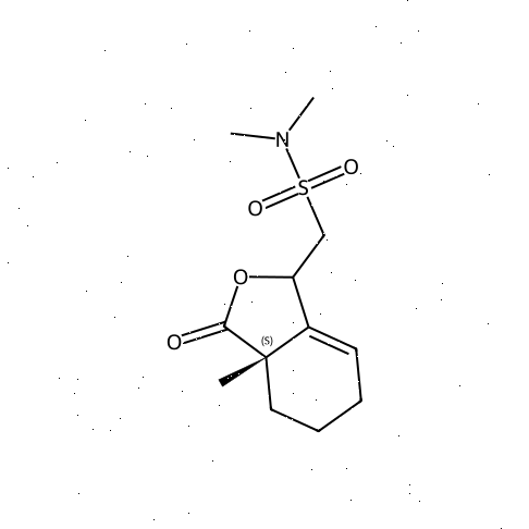 CN(C)S(=O)(=O)CC1OC(=O)[C@@]2(C)CCCC=C12